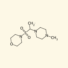 [CH2]C(N1CCN(C)CC1)S(=O)(=O)N1CCOCC1